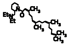 CCN(CC)CC1CCCCN1C(=O)C=C(C)CCC=C(C)CCC=C(C)CCC=C(C)C